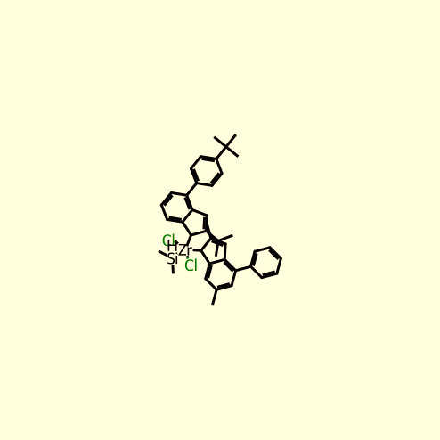 CC1=Cc2c(-c3ccccc3)cc(C)cc2[CH]1[Zr]([Cl])([Cl])([CH]1C(C(C)C)=Cc2c(-c3ccc(C(C)(C)C)cc3)cccc21)[SiH](C)C